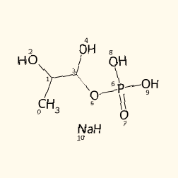 CC(O)C(O)OP(=O)(O)O.[NaH]